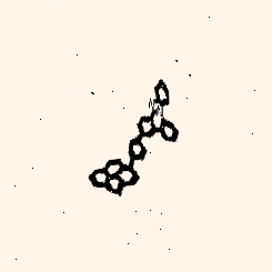 c1cc2ccc3ccc(-c4ccc(-c5ccc6c(c5)c5ccccc5n5c7ccccc7nc65)cc4)c4ccc(c1)c2c34